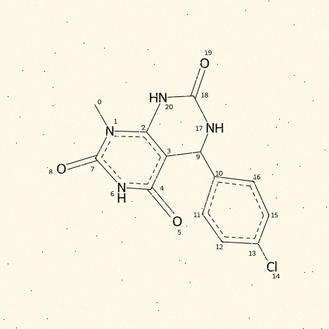 Cn1c2c(c(=O)[nH]c1=O)C(c1ccc(Cl)cc1)NC(=O)N2